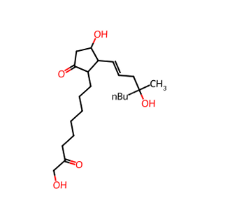 CCCCC(C)(O)CC=CC1C(O)CC(=O)C1CCCCCCC(=O)CO